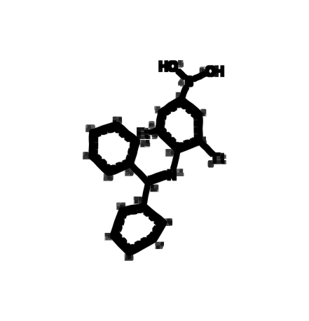 CCc1cc(B(O)O)cc(CC)c1N=C(c1ccccc1)c1ccccc1